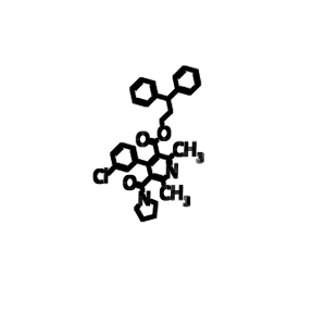 Cc1nc(C)c(C(=O)N2CCCC2)c(-c2cccc(Cl)c2)c1C(=O)OCCC(c1ccccc1)c1ccccc1